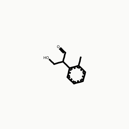 Cc1ccccc1C(C=O)CO